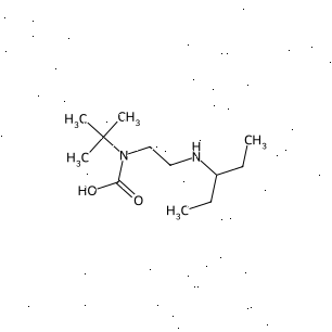 CCC(CC)NCCN(C(=O)O)C(C)(C)C